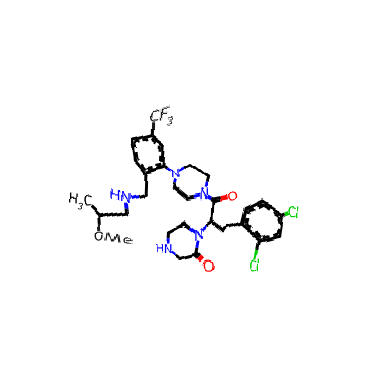 COC(C)CNCc1ccc(C(F)(F)F)cc1N1CCN(C(=O)C(Cc2ccc(Cl)cc2Cl)N2CCNCC2=O)CC1